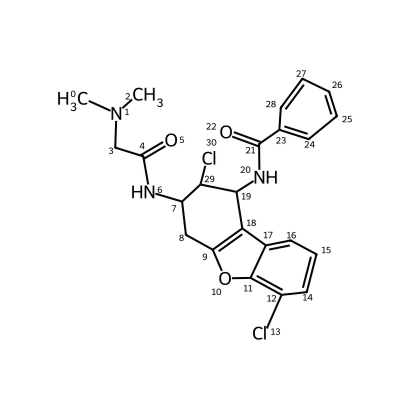 CN(C)CC(=O)NC1Cc2oc3c(Cl)cccc3c2C(NC(=O)c2ccccc2)C1Cl